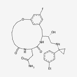 CCc1cccc(C2(NC[C@@H](O)C3Cc4cc(F)cc(c4)OCCCCCC(=O)NC(CC(N)=O)C(=O)N3)CC2)c1